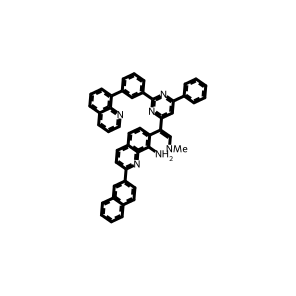 CN/C=C(/c1cc(-c2ccccc2)nc(-c2cccc(-c3cccc4cccnc34)c2)n1)c1ccc2ccc(-c3ccc4ccccc4c3)nc2c1N